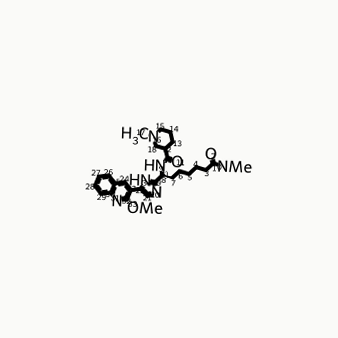 CNC(=O)CCCCC[C@H](NC(=O)C1CCCN(C)C1)c1ncc(-c2cc3ccccc3nc2OC)[nH]1